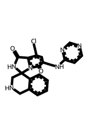 O=C1NC2(CNCc3ccccc32)n2c1c(Cl)cc(Nc1ccncn1)c2=O